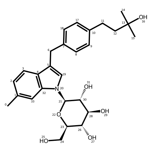 Cc1ccc2c(Cc3ccc(CCC(C)(C)O)cc3)cn([C@@H]3O[C@H](CO)[C@@H](O)[C@H](O)[C@H]3O)c2c1